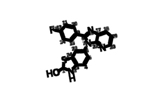 OC1Nc2ccc(-n3c(-c4ccc(F)cc4)nc4cccnc43)cc2S1